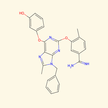 Cc1ccc(C(=N)N)cc1Oc1nc(Oc2cccc(O)c2)c2nc(C)n(Cc3ccccc3)c2n1